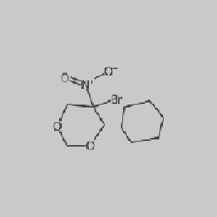 C1CCCCC1.O=[N+]([O-])C1(Br)COCOC1